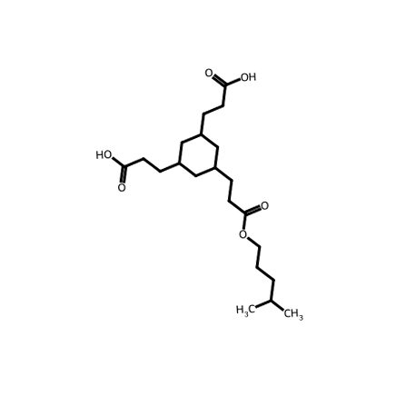 CC(C)CCCOC(=O)CCC1CC(CCC(=O)O)CC(CCC(=O)O)C1